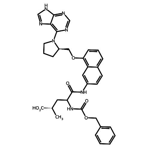 C[C@@H](CC(NC(=O)OCc1ccccc1)C(=O)Nc1ccc2cccc(OC[C@H]3CCCN3c3ncnc4[nH]cnc34)c2c1)C(=O)O